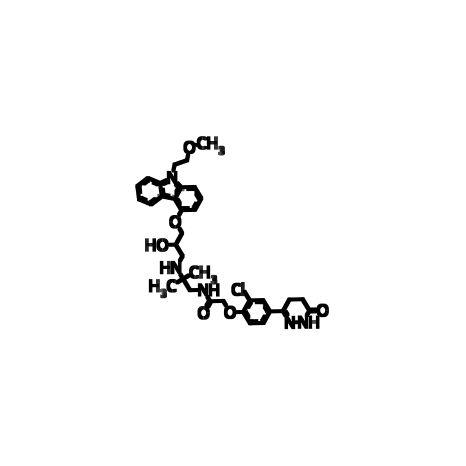 COCCn1c2ccccc2c2c(OCC(O)CNC(C)(C)CNC(=O)COc3ccc(C4=NNC(=O)CC4)cc3Cl)cccc21